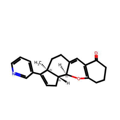 C[C@]12CCC3=CC4=C(CCCC4=O)O[C@H]3[C@@H]1CC=C2c1cccnc1